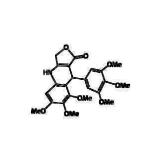 COc1cc(C2C3=C(COC3=O)Nc3cc(OC)c(OC)c(OC)c32)cc(OC)c1OC